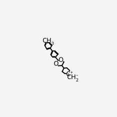 [CH2-][C+]1CCC(C2COC(c3ccc(-c4ccc(C)cc4)cc3)OC2)CC1